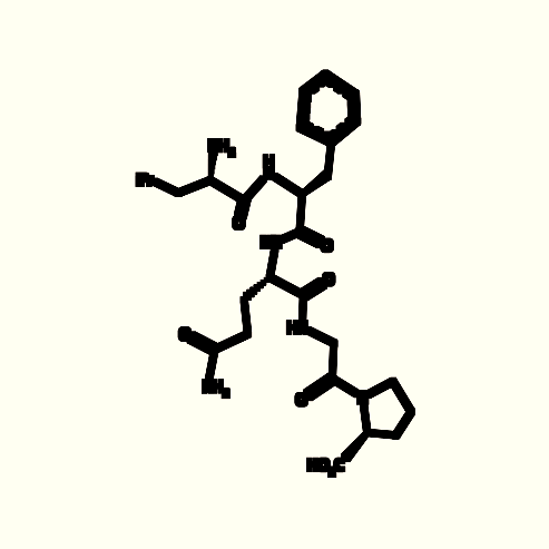 CC(C)C[C@H](N)C(=O)N[C@@H](Cc1ccccc1)C(=O)N[C@@H](CCC(N)=O)C(=O)NCC(=O)N1CCC[C@H]1C(=O)O